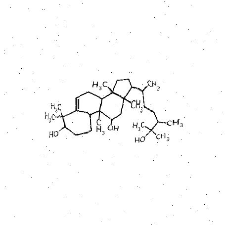 CC(CCC(C)C(C)(C)O)C1CCC2(C)C3CC=C4C(CCC(O)C4(C)C)C3(C)C(O)CC12C